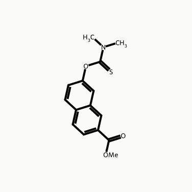 COC(=O)c1ccc2ccc(OC(=S)N(C)C)cc2c1